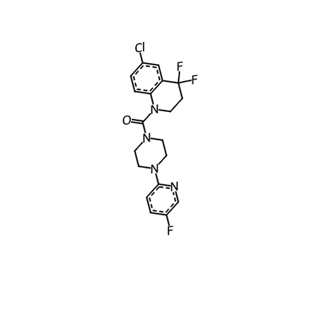 O=C(N1CCN(c2ccc(F)cn2)CC1)N1CCC(F)(F)c2cc(Cl)ccc21